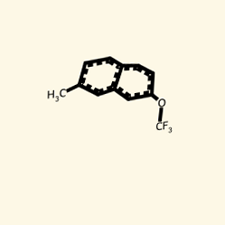 Cc1ccc2ccc(OC(F)(F)F)cc2c1